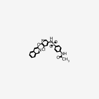 CC(=O)Nc1ccc(S(=O)(=O)Nc2cnc(Oc3cc4ccccc4cn3)c(Cl)c2)cc1